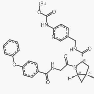 CC(C)(C)OC(=O)Nc1ccc(CNC(=O)[C@@H]2C[C@]3(C)C[C@@H]3N2C(=O)CNC(=O)c2ccc(Oc3ccccc3)cc2)cn1